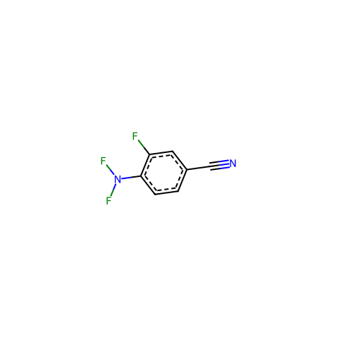 N#Cc1ccc(N(F)F)c(F)c1